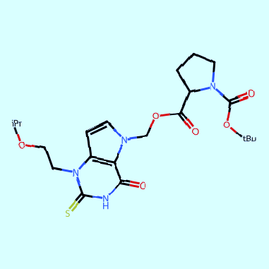 CC(C)OCCn1c(=S)[nH]c(=O)c2c1ccn2COC(=O)C1CCCN1C(=O)OC(C)(C)C